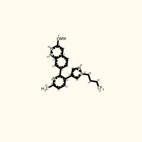 COc1cc2ccc(-c3nc(C)ccc3-c3cnn(CCCC(F)(F)F)c3)cc2nn1